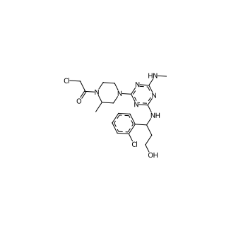 CNc1nc(NC(CCO)c2ccccc2Cl)nc(N2CCN(C(=O)CCl)C(C)C2)n1